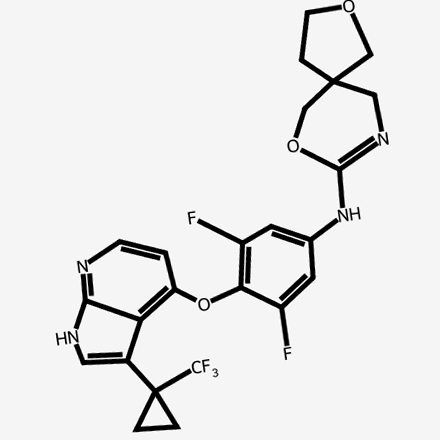 Fc1cc(NC2=NCC3(CCOC3)CO2)cc(F)c1Oc1ccnc2[nH]cc(C3(C(F)(F)F)CC3)c12